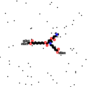 CCCCCCCCCOC(=O)CCCCCN1CC(OC(=O)CCN(C)C)C[C@H]1C(=O)OCCCCCCCC(=O)OC(CCCCCCCC)CCCCCCCC